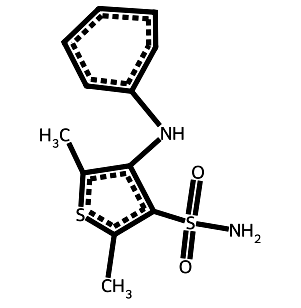 Cc1sc(C)c(S(N)(=O)=O)c1Nc1ccccc1